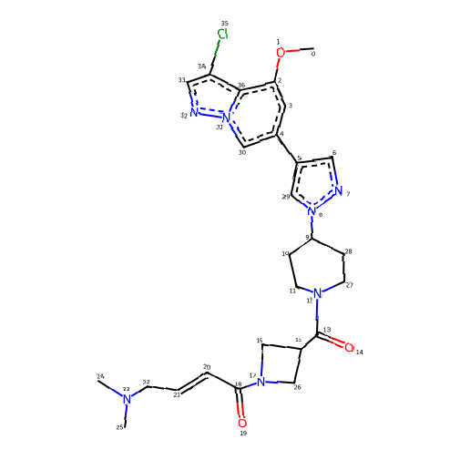 COc1cc(-c2cnn(C3CCN(C(=O)C4CN(C(=O)/C=C/CN(C)C)C4)CC3)c2)cn2ncc(Cl)c12